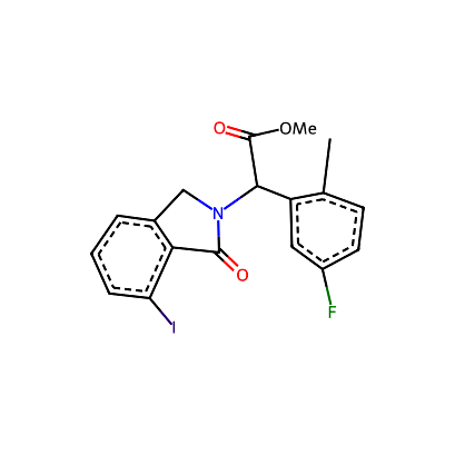 COC(=O)C(c1cc(F)ccc1C)N1Cc2cccc(I)c2C1=O